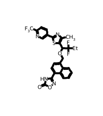 CCC(F)(F)C(OCc1ccc(-c2noc(=O)[nH]2)c2ccccc12)c1sc(-c2ccc(C(F)(F)F)nc2)nc1C